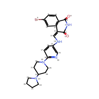 O=C1NC(=O)c2ccc(Br)cc2/C1=C/Nc1ccc(N2CCC(N3CCCC3)CC2)nc1